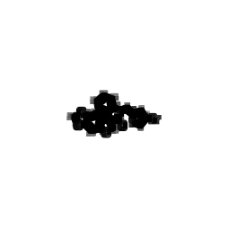 O=C1N(Cc2cc(Br)cs2)c2ccccc2C12COc1cc3c(cc12)OCO3